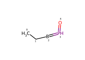 CCB=[PH]=O